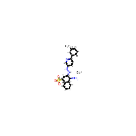 Nc1c(N=Nc2ccc(-c3cccc(C(F)(F)F)c3)nc2)cc(S(=O)(=O)[O-])c2ccccc12.[Na+]